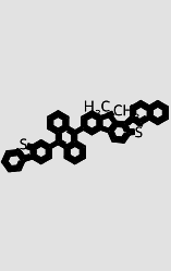 CC1(C)c2ccc(-c3c4ccccc4c(-c4ccc5c(c4)sc4ccccc45)c4ccccc34)cc2-c2ccc3sc4c5ccccc5ccc4c3c21